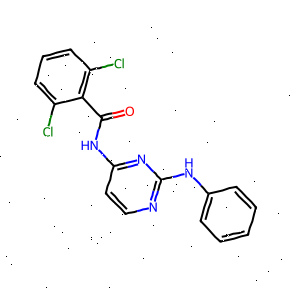 O=C(Nc1ccnc(Nc2ccccc2)n1)c1c(Cl)cccc1Cl